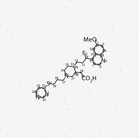 COc1ccc2nccc(C(F)CC[C@@H]3CCN(CCCSc4ccncn4)C[C@@H]3CC(=O)O)c2c1